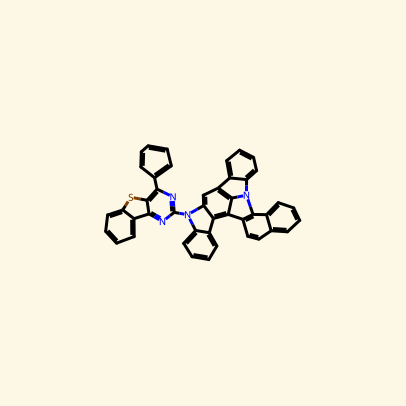 c1ccc(-c2nc(-n3c4ccccc4c4c5c6ccc7ccccc7c6n6c7ccccc7c(cc43)c56)nc3c2sc2ccccc23)cc1